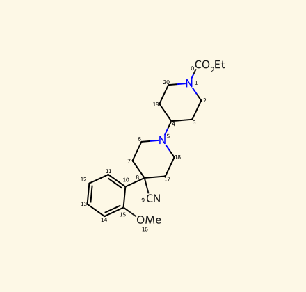 CCOC(=O)N1CCC(N2CCC(C#N)(c3ccccc3OC)CC2)CC1